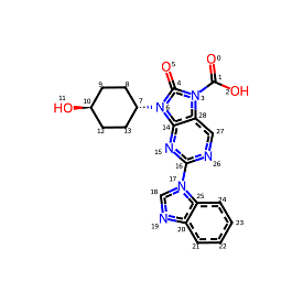 O=C(O)n1c(=O)n([C@H]2CC[C@H](O)CC2)c2nc(-n3cnc4ccccc43)ncc21